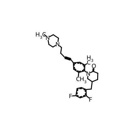 Cc1cc(C#CCCN2CCN(C)CC2)cc(C)c1N1CC(Cc2ccc(F)cc2F)CCC1=O